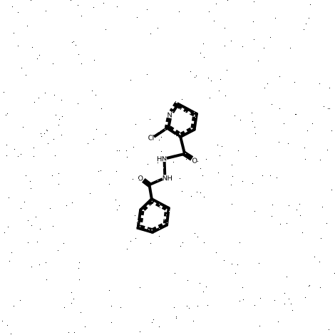 O=C(NNC(=O)c1cccnc1Cl)c1ccccc1